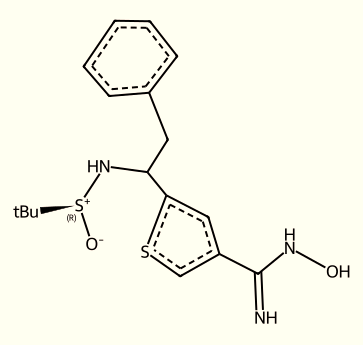 CC(C)(C)[S@+]([O-])NC(Cc1ccccc1)c1cc(C(=N)NO)cs1